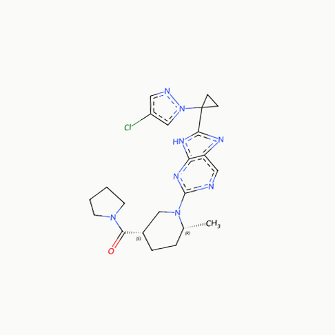 C[C@@H]1CC[C@H](C(=O)N2CCCC2)CN1c1ncc2nc(C3(n4cc(Cl)cn4)CC3)[nH]c2n1